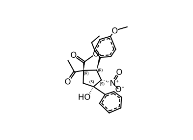 CCOC(=O)[C@]1(C(C)=O)C[C@](O)(c2ccccc2)[C@@H]([N+](=O)[O-])[C@@H]1c1ccc(OC)cc1